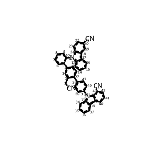 N#CCc1cc(-c2ccccc2-n2c3ccccc3c3cc(C#N)ccc32)ccc1-c1ccc(-n2c3ccccc3c3cccc(C#N)c32)cc1